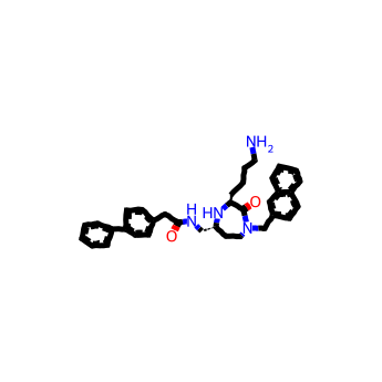 NCCCC[C@@H]1N[C@@H](CNC(=O)Cc2ccc(-c3ccccc3)cc2)CCN(Cc2ccc3ccccc3c2)C1=O